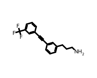 NCCCc1cccc(C#Cc2cccc(C(F)(F)F)c2)c1